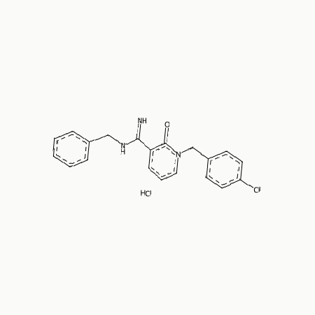 Cl.N=C(NCc1ccccc1)c1cccn(Cc2ccc(Cl)cc2)c1=O